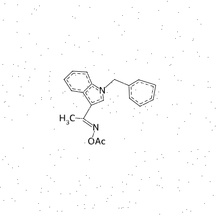 CC(=O)O/N=C(\C)c1cn(Cc2ccccc2)c2ccccc12